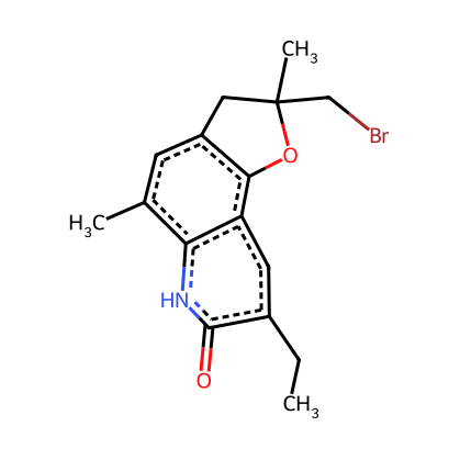 CCc1cc2c3c(cc(C)c2[nH]c1=O)CC(C)(CBr)O3